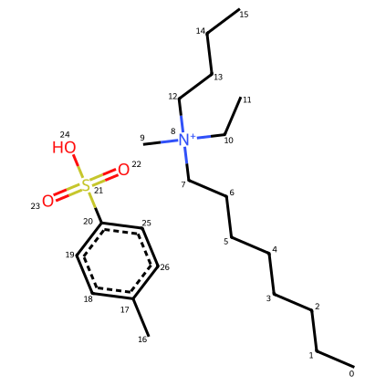 CCCCCCCC[N+](C)(CC)CCCC.Cc1ccc(S(=O)(=O)O)cc1